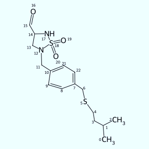 CC(C)CCSCc1ccc(CN2CC(C=O)NS2(=O)=O)cc1